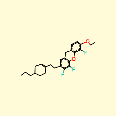 CCCC1CC=C(CCc2cc3c(c(F)c2F)Oc2c(ccc(OCC)c2F)C3)CC1